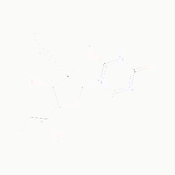 C=C[C@@H](O)[C@H]1O[C@@H](n2cnc(=O)[nH]c2=O)C(F)(C#CC)[C@H]1O